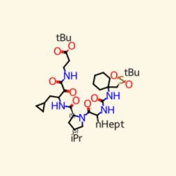 CCCCCCCC(NC(=O)NC1(CS(=O)(=O)C(C)(C)C)CCCCC1)C(=O)N1C[C@H](C(C)C)C[C@H]1C(=O)NC(CC1CC1)C(=O)C(=O)NCCC(=O)OC(C)(C)C